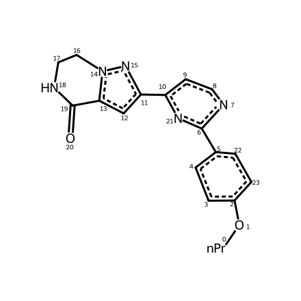 CCCOc1ccc(-c2nccc(-c3cc4n(n3)CCNC4=O)n2)cc1